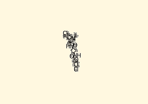 O=C(N[C@H]1CC[C@H](NC(=O)C2Cc3cc(Cl)ccc3O2)CC1)c1cn(C2CC2)c2cc(Cl)c(F)cc2c1=O